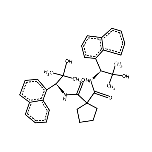 CC(C)(O)[C@@H](NC(=O)C1(C(=O)N[C@@H](c2cccc3ccccc23)C(C)(C)O)CCCC1)c1cccc2ccccc12